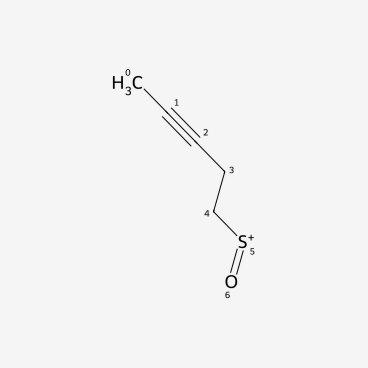 CC#CCC[S+]=O